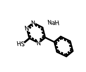 Sc1nncc(-c2ccccc2)n1.[NaH]